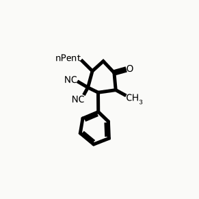 CCCCCC1CC(=O)C(C)C(c2ccccc2)C1(C#N)C#N